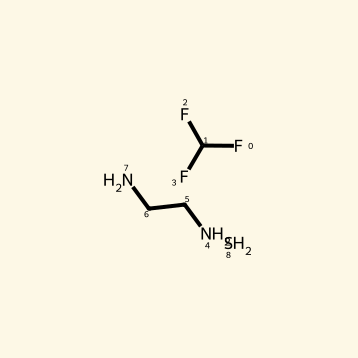 FC(F)F.NCCN.S